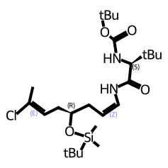 C/C(Cl)=C\C[C@@H](C/C=C\NC(=O)[C@@H](NC(=O)OC(C)(C)C)C(C)(C)C)O[Si](C)(C)C(C)(C)C